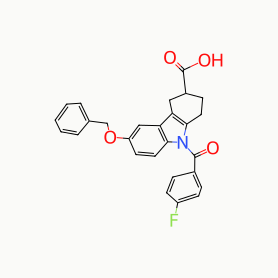 O=C(O)C1CCc2c(c3cc(OCc4ccccc4)ccc3n2C(=O)c2ccc(F)cc2)C1